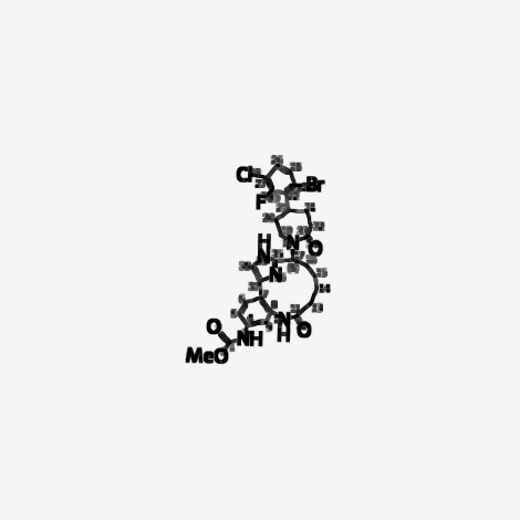 COC(=O)Nc1ccc2c(c1)NC(=O)CCCC[C@H](N1CCC(c3c(Br)ccc(Cl)c3F)CCC1=O)c1nc-2c[nH]1